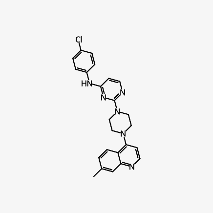 Cc1ccc2c(N3CCN(c4nccc(Nc5ccc(Cl)cc5)n4)CC3)ccnc2c1